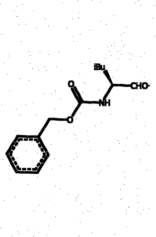 CCC(C)[C@@H]([C]=O)NC(=O)OCc1ccccc1